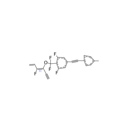 C#C/C(OC(F)(F)c1c(F)cc(C#Cc2ccc(C)cc2)cc1F)=C(\F)C=C